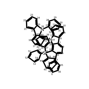 c1ccc(-c2ccc3c4ccccc4n(-c4cccc5c6ccccc6n(-c6ccccc6)c45)c3c2[Si](c2ccccc2)(c2ccccc2)c2ccccc2)cc1